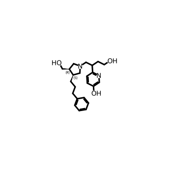 OCCC(CN1C[C@@H](CCCc2ccccc2)[C@@H](CO)C1)c1ccc(O)cn1